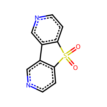 O=S1(=O)c2ccncc2-c2cnccc21